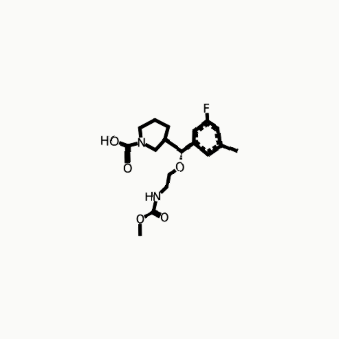 COC(=O)NCCO[C@@H](c1cc(C)cc(F)c1)C1CCCN(C(=O)O)C1